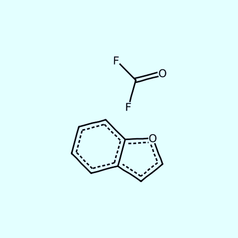 O=C(F)F.c1ccc2occc2c1